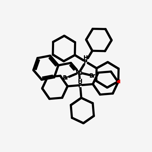 [Br][Ru]([Br])(=[CH]c1ccccc1)([PH](C1CCCCC1)(C1CCCCC1)C1CCCCC1)[PH](C1CCCCC1)(C1CCCCC1)C1CCCCC1